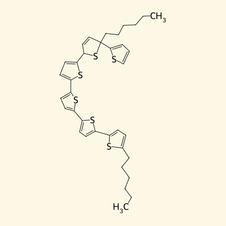 CCCCCCc1ccc(-c2ccc(-c3ccc(-c4ccc(C5C=CC(CCCCCC)(c6cccs6)S5)s4)s3)s2)s1